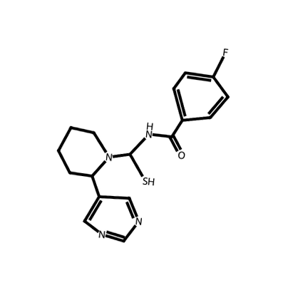 O=C(NC(S)N1CCCCC1c1cncnc1)c1ccc(F)cc1